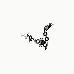 Cc1ccc(CNC2CCC(n3c(=O)c4cc(F)cnc4n(-c4cccc(-c5ccc(CN6CCN(C(C)C)CC6)cc5)c4)c3=O)CC2)s1